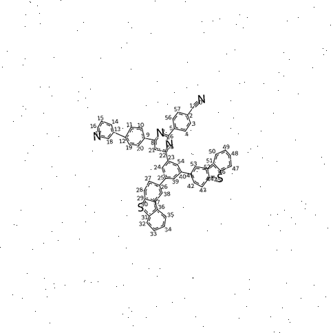 N#Cc1ccc(-c2nc(-c3ccc(-c4cccnc4)cc3)cc(-c3cc(-c4ccc5sc6ccccc6c5c4)cc(-c4ccc5sc6ccccc6c5c4)c3)n2)cc1